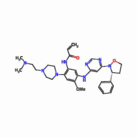 C=CC(=O)Nc1cc(Nc2cc(N3OCC[C@@H]3c3ccccc3)ncn2)c(OC)cc1N1CCN(CCN(C)C)CC1